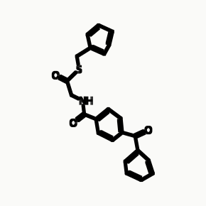 O=C(CNC(=O)c1ccc(C(=O)c2ccccc2)cc1)SCc1ccccc1